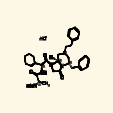 CN[C@@H](C)C(=O)N[C@H](C(=O)N1CC(=O)N2[C@@H](Cc3ccccc3)CN(CCc3ccccc3)C[C@H]12)C1CCCCC1.Cl